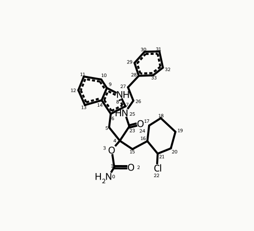 NC(=O)OC(Cc1c[nH]c2ccccc12)(CC1CCCCC1Cl)C(=O)NCCc1ccccc1